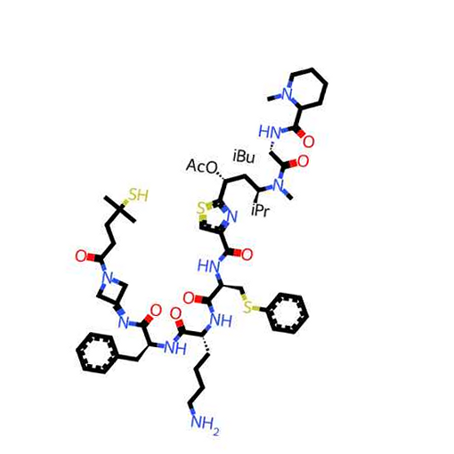 CC[C@H](C)[C@H](NC(=O)C1CCCCN1C)C(=O)N(C)[C@H](C[C@@H](OC(C)=O)c1nc(C(=O)N[C@@H](CSc2ccccc2)C(=O)N[C@H](CCCCN)C(=O)N[C@@H](Cc2ccccc2)C(=O)N=C2CN(C(=O)CCC(C)(C)S)C2)cs1)C(C)C